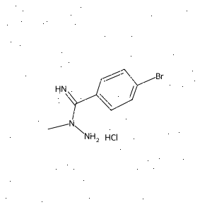 CN(N)C(=N)c1ccc(Br)cc1.Cl